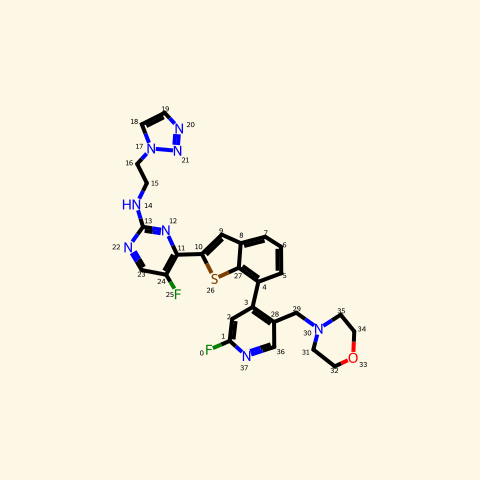 Fc1cc(-c2cccc3cc(-c4nc(NCCn5ccnn5)ncc4F)sc23)c(CN2CCOCC2)cn1